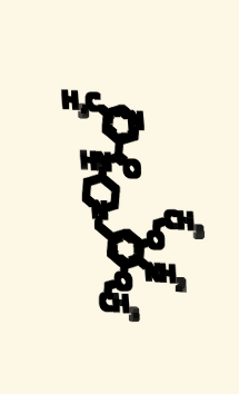 CCOc1cc(CN2CCC(NC(=O)c3cncc(C)c3)CC2)cc(OCC)c1N